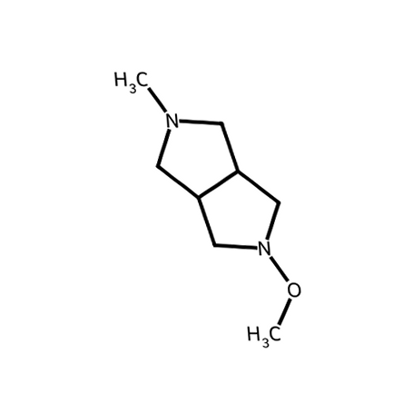 CON1CC2CN(C)CC2C1